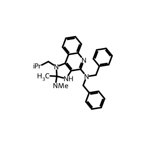 CNC1(C)Nc2c(N(Cc3ccccc3)Cc3ccccc3)nc3ccccc3c2N1CC(C)C